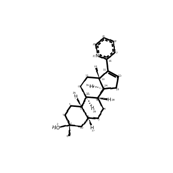 C[C@@]1(O)CC[C@H]2[C@H](CC[C@@H]3[C@@H]2CC[C@]2(C)C(c4ccccn4)=CC[C@@H]32)C1